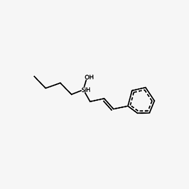 CCCC[SiH](O)CC=Cc1ccccc1